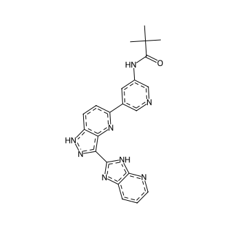 CC(C)(C)C(=O)Nc1cncc(-c2ccc3[nH]nc(-c4nc5cccnc5[nH]4)c3n2)c1